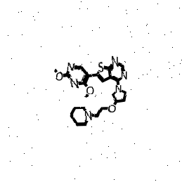 COc1ncc(-c2cc3c(N4CCC(OCCN5CCCCC5)C4)ncnc3s2)c(OC)n1